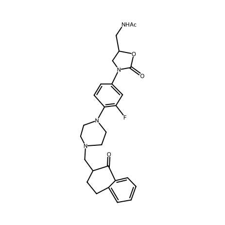 CC(=O)NCC1CN(c2ccc(N3CCN(CC4CCc5ccccc5C4=O)CC3)c(F)c2)C(=O)O1